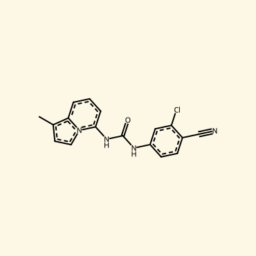 Cc1ccn2c(NC(=O)Nc3ccc(C#N)c(Cl)c3)cccc12